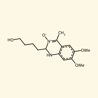 COc1cc2c(cc1OC)C(C)=[N+]([O-])C(CCCCO)N2